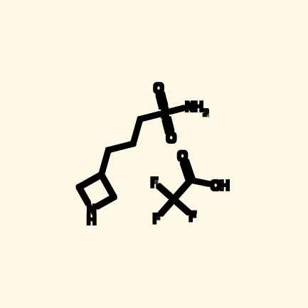 NS(=O)(=O)CCCC1CNC1.O=C(O)C(F)(F)F